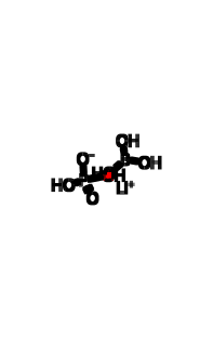 O=P([O-])(O)O.OB(O)O.[Li+]